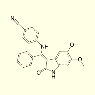 COc1cc2c(cc1OC)C(=C(Nc1ccc(C#N)cc1)c1ccccc1)C(=O)N2